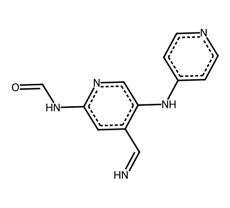 N=Cc1cc(NC=O)ncc1Nc1ccncc1